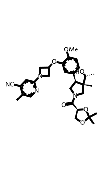 COc1ccc([C@@H]2CN(C(=O)[C@@H]3COC(C)(C)O3)C[C@@]2(C)[C@@H](C)O)cc1OC1CN(c2cc(C#N)c(C)cn2)C1